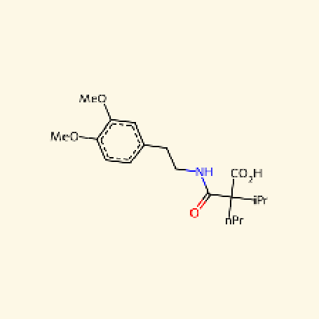 CCCC(C(=O)O)(C(=O)NCCc1ccc(OC)c(OC)c1)C(C)C